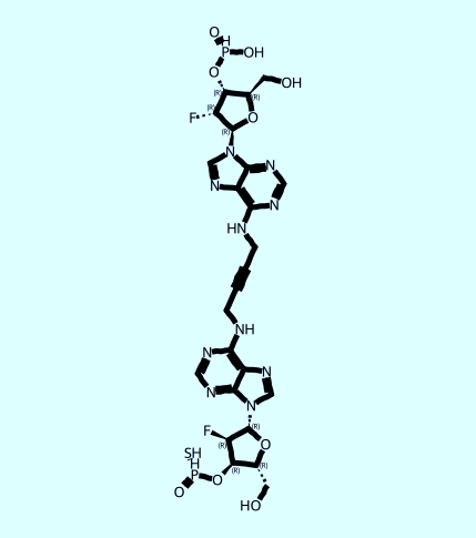 O=[PH](O)O[C@H]1[C@@H](F)[C@H](n2cnc3c(NCC#CCNc4ncnc5c4ncn5[C@@H]4O[C@H](CO)[C@@H](O[PH](=O)S)[C@H]4F)ncnc32)O[C@@H]1CO